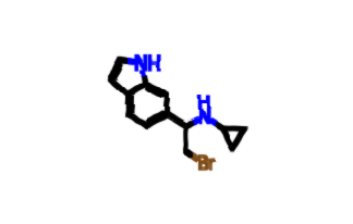 BrCC(NC1CC1)c1ccc2cc[nH]c2c1